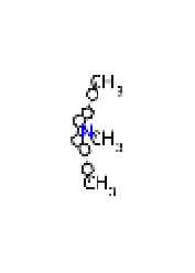 CCn1c2c3ccc(-c4ccc(C)cc4)cc3ccc2c2ccc3cc(-c4ccc(C)cc4)ccc3c21